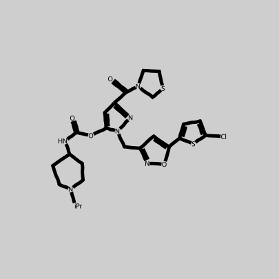 CC(C)N1CCC(NC(=O)Oc2cc(C(=O)N3CCSC3)nn2Cc2cc(-c3ccc(Cl)s3)on2)CC1